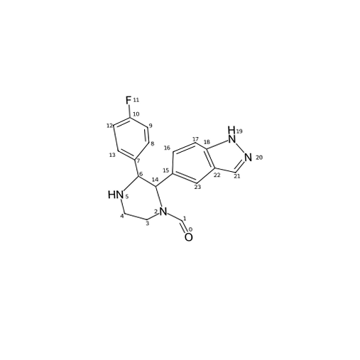 O=CN1CCNC(c2ccc(F)cc2)C1c1ccc2[nH]ncc2c1